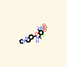 Cc1cc([C@@H](C)NC(=O)c2ccc3nc(N4CCCC4)ccc3c2)c(F)cc1NS(C)(=O)=O